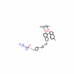 COCCCOc1ccc2cc(C)ccc2c1-c1c(OCCCOC)ccc2cc(-c3ccc(-c4ccc(-c5ccc(CCCC(=O)NCCN)cc5)s4)s3)ccc12